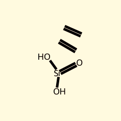 C=C.C=C.O=[Si](O)O